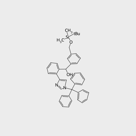 CC(C)(C)[Si](C)(C)OCc1cccc(C(O)c2ccccc2-c2cn(C(c3ccccc3)(c3ccccc3)c3ccccc3)cn2)c1